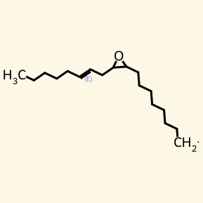 [CH2]CCCCCCCC1OC1C/C=C/CCCCC